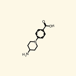 NC1CCN(c2ccc(C(=O)O)cc2)CC1